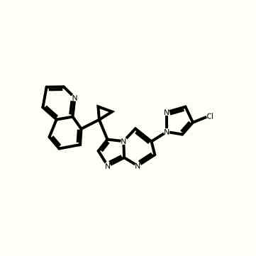 Clc1cnn(-c2cnc3ncc(C4(c5cccc6cccnc56)CC4)n3c2)c1